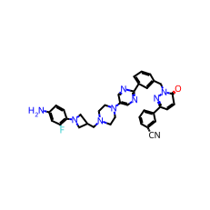 N#Cc1cccc(-c2ccc(=O)n(Cc3cccc(-c4ncc(N5CCN(CC6CN(c7ccc(N)cc7F)C6)CC5)cn4)c3)n2)c1